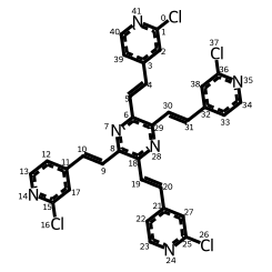 Clc1cc(C=Cc2nc(C=Cc3ccnc(Cl)c3)c(C=Cc3ccnc(Cl)c3)nc2C=Cc2ccnc(Cl)c2)ccn1